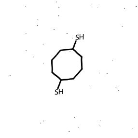 SC1CCCC(S)CCC1